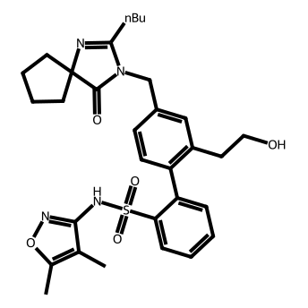 CCCCC1=NC2(CCCC2)C(=O)N1Cc1ccc(-c2ccccc2S(=O)(=O)Nc2noc(C)c2C)c(CCO)c1